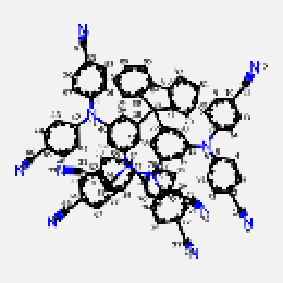 N#Cc1ccc(N(c2ccc(C#N)cc2)c2cc(N(c3ccc(C#N)cc3)c3ccc(C#N)cc3)cc(C3(c4cc(N(c5ccc(C#N)cc5)c5ccc(C#N)cc5)cc(N(c5ccc(C#N)cc5)c5ccc(C#N)cc5)c4)c4ccccc4-c4ccccc43)c2)cc1